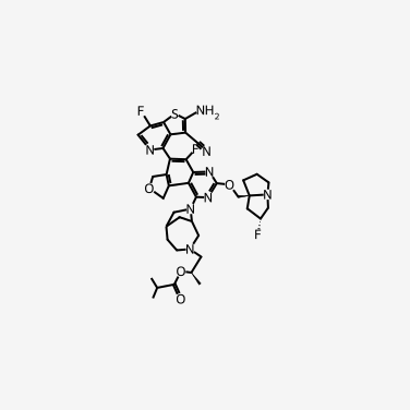 CC(C)C(=O)O[C@H](C)CN1CCC2CC(C1)N(c1nc(OC[C@@]34CCCN3C[C@H](F)C4)nc3c(F)c(-c4ncc(F)c5sc(N)c(C#N)c45)c4c(c13)COC4)C2